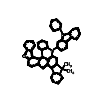 CC1(C)c2ccccc2-c2ccc(N(c3ccc4c5ccccc5n(-c5ccccc5)c4c3)c3ccccc3-c3cccc4ccc5oc6ccccc6c5c34)cc21